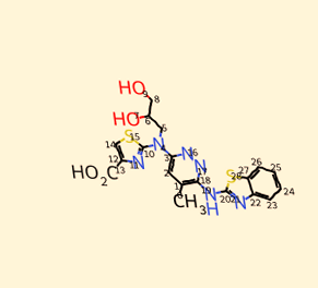 Cc1cc(N(CC(O)CO)c2nc(C(=O)O)cs2)nnc1Nc1nc2ccccc2s1